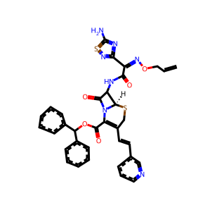 C=CCO/N=C(\C(=O)NC1C(=O)N2C(C(=O)OC(c3ccccc3)c3ccccc3)=C(/C=C/c3cccnc3)CS[C@H]12)c1nsc(N)n1